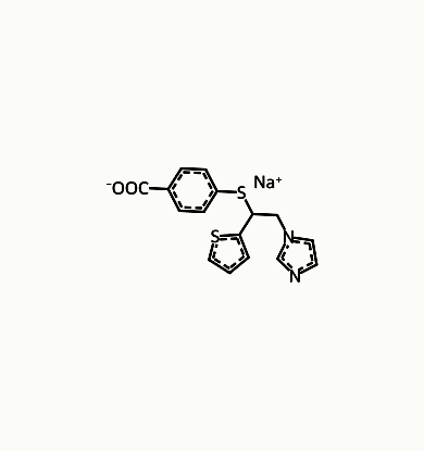 O=C([O-])c1ccc(SC(Cn2ccnc2)c2cccs2)cc1.[Na+]